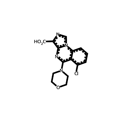 O=C(O)c1ncn2c1nc(N1CCOCC1)c1c(Cl)cccc12